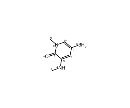 Bc1cc(NC)c(=O)n(C)c1